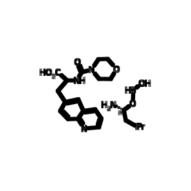 CC(C)C[C@H](N)OBO.O=C(O)C(Cc1ccc2ncccc2c1)NC(=O)N1CCOCC1